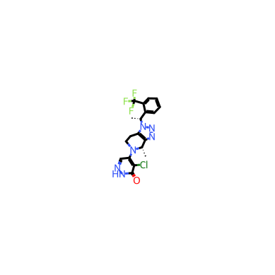 C[C@H](c1ccccc1C(F)(F)F)n1nnc2c1CCN(c1cn[nH]c(=O)c1Cl)[C@H]2C